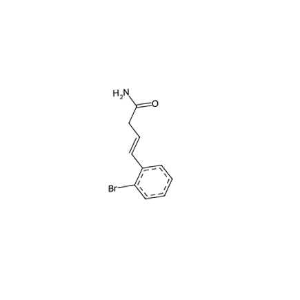 NC(=O)CC=Cc1ccccc1Br